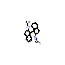 C/C=N/c1ccc2ccccc2c1-c1c(/N=C/C)ccc2ccccc12